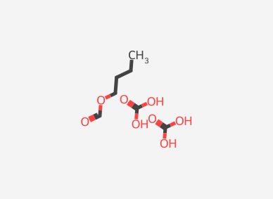 CCCCOC=O.O=C(O)O.O=C(O)O